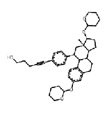 C[C@]12C[C@H](c3ccc(C#CCCCO)cc3)C3c4ccc(OC5CCCCO5)cc4CCC3C1CC[C@@H]2OC1CCCCO1